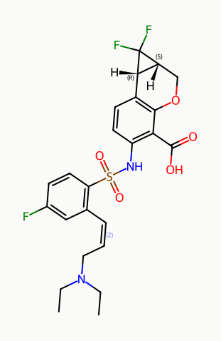 CCN(CC)C/C=C\c1cc(F)ccc1S(=O)(=O)Nc1ccc2c(c1C(=O)O)OC[C@@H]1[C@H]2C1(F)F